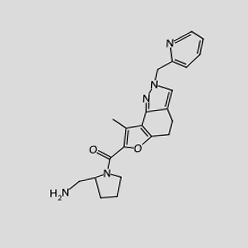 Cc1c(C(=O)N2CCCC2CN)oc2c1-c1nn(Cc3ccccn3)cc1CC2